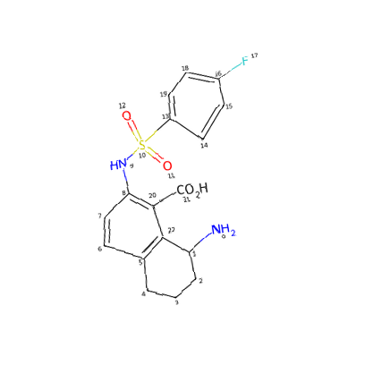 NC1CCCc2ccc(NS(=O)(=O)c3ccc(F)cc3)c(C(=O)O)c21